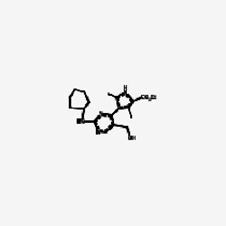 CCOC(=O)c1[nH]c(C)c(-c2nc(NC3CCCCC3)ncc2CO)c1C